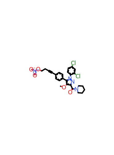 COc1c(C(=O)N2CCCCC2)nn(-c2ccc(Cl)cc2Cl)c1-c1ccc(C#CCCO[N+](=O)[O-])cc1